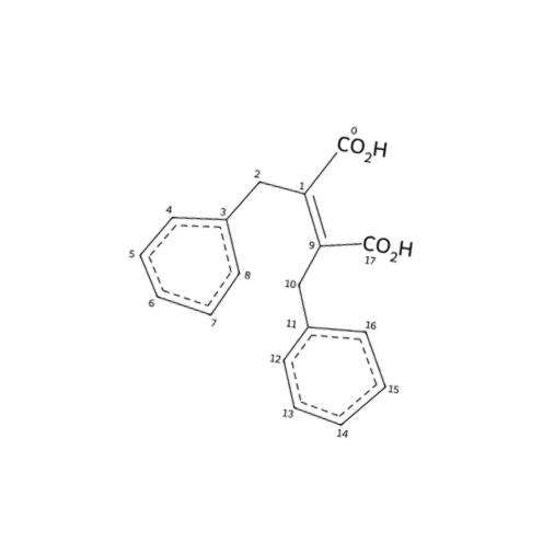 O=C(O)C(Cc1ccccc1)=C(Cc1ccccc1)C(=O)O